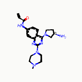 C=CC(=O)Nc1ccc2c(N3CC[C@@H](N)C3)nc(N3CCN(C)CC3)nc2c1